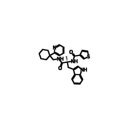 C[C@@](Cc1c[nH]c2ccccc12)(NC(=O)c1ccsc1)C(=O)NCC1(c2ccccn2)CCCCC1